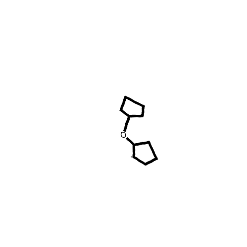 [CH]1CCCC1OC1CCCC1